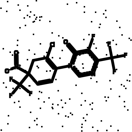 O=c1c(F)c(C(F)(F)F)ncn1C1=C(Cl)CC([N+](=O)[O-])(C(F)(F)F)C=C1